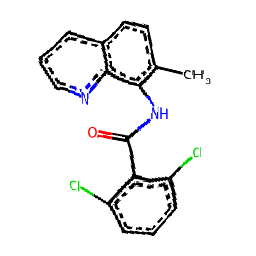 Cc1ccc2cccnc2c1NC(=O)c1c(Cl)cccc1Cl